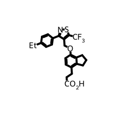 CCc1ccc(-c2nsc(C(F)(F)F)c2COc2ccc(CCC(=O)O)c3c2CCC3)cc1